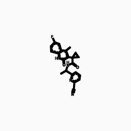 Cc1c(C2(C(=O)NC(C)c3cccc(C#N)n3)CC2)c(=O)[nH]c2ccc(F)cc12